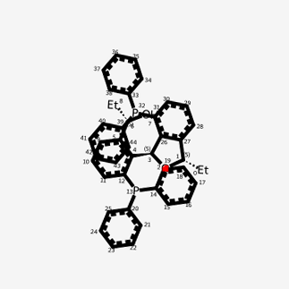 CC[C@@H]1O[C@@H](c2c([C@@H](O)CC)cccc2P(c2ccccc2)c2ccccc2)c2c1cccc2P(c1ccccc1)c1ccccc1